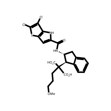 COCCCC(C(=O)O)(C(=O)O)[C@@H]1c2ccccc2C[C@H]1NC(=O)c1cc2sc(Cl)c(Cl)c2[nH]1